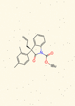 C=CC[C@]1(c2ccc(C)cc2C)C(=O)N(C(=O)OC(C)(C)C)c2ccccc21